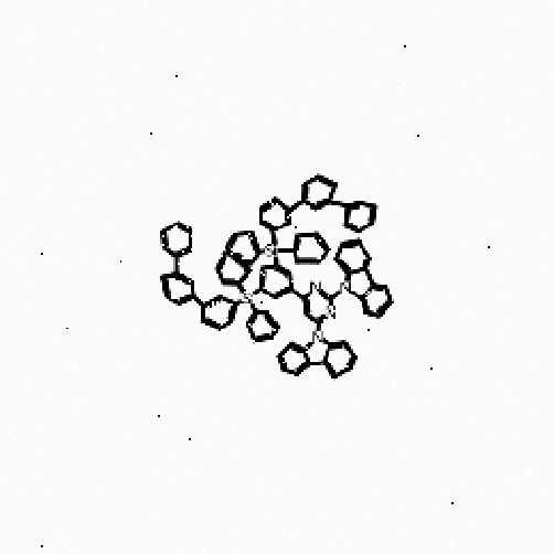 c1ccc(-c2cccc(-c3cccc([Si](c4ccccc4)(c4ccccc4)c4cc(-c5cc(-n6c7ccccc7c7ccccc76)nc(-n6c7ccccc7c7ccccc76)n5)cc([Si](c5ccccc5)(c5ccccc5)c5cccc(-c6cccc(-c7ccccc7)c6)c5)c4)c3)c2)cc1